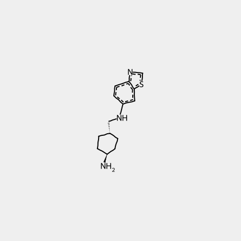 N[C@H]1CC[C@H](CNc2ccc3ncsc3c2)CC1